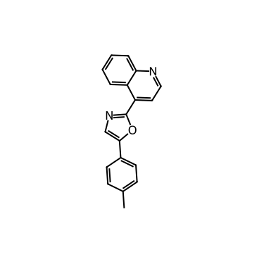 Cc1ccc(-c2cnc(-c3ccnc4ccccc34)o2)cc1